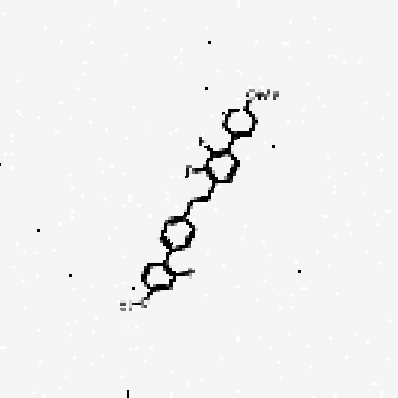 CCOc1ccc(-c2ccc(CCc3ccc(C4=CCC(OC)CC4)c(F)c3F)cc2)c(F)c1